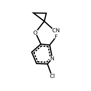 N#CC1(Oc2ccc(Cl)nc2F)CC1